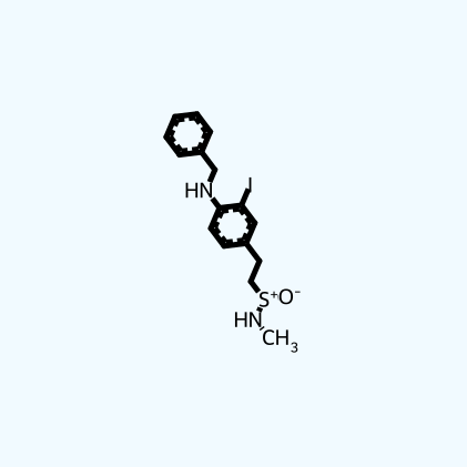 CN[S+]([O-])CCc1ccc(NCc2ccccc2)c(I)c1